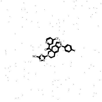 N#Cc1nsc(N2CCC3=Cc4c(cnn4-c4ccc(F)cc4)CC3(C(=O)c3cc(C(F)(F)F)ccn3)C2)n1